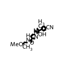 CO[C@H](C)CCNC(=O)c1ccc(-n2ncc(-c3ccc(C#N)cc3C)c2O)nc1